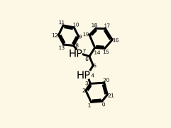 c1ccc(PCC(Pc2ccccc2)c2ccccc2)cc1